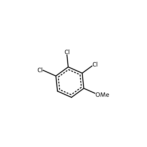 COc1ccc(Cl)c(Cl)c1Cl